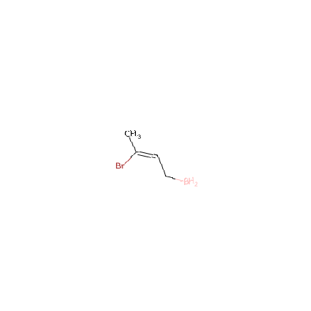 BCC=C(C)Br